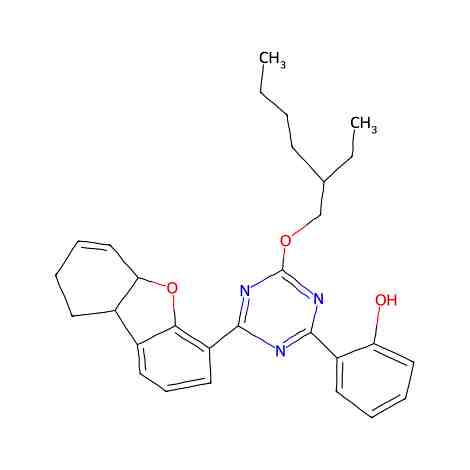 CCCCC(CC)COc1nc(-c2ccccc2O)nc(-c2cccc3c2OC2C=CCCC32)n1